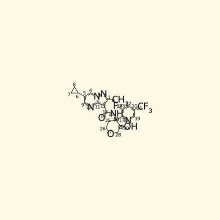 Cc1nn2cc(C3CC3)cnc2c1C(=O)N[C@]1(c2ncc(C(F)(F)F)cc2F)CCOC[C@H]1O